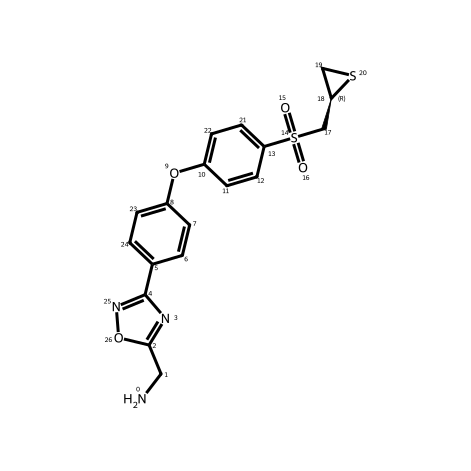 NCc1nc(-c2ccc(Oc3ccc(S(=O)(=O)C[C@H]4CS4)cc3)cc2)no1